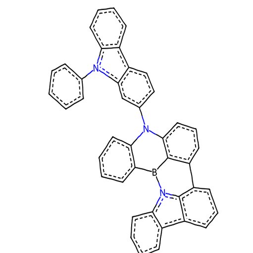 c1ccc(-n2c3ccccc3c3ccc(N4c5ccccc5B5c6c(cccc64)-c4cccc6c7ccccc7n5c46)cc32)cc1